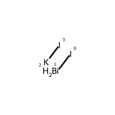 [I][BiH2].[K][I]